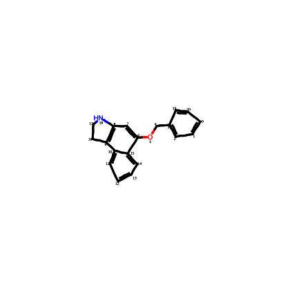 c1ccc(COc2cc3c(c4ccccc24)CCN3)cc1